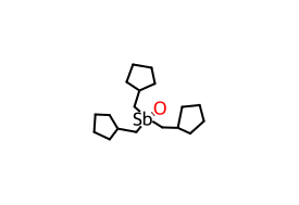 [O]=[Sb]([CH2]C1CCCC1)([CH2]C1CCCC1)[CH2]C1CCCC1